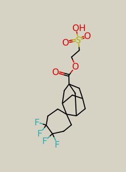 O=C(OCCS(=O)(=O)O)C12CC3CC(C1)C1(CCC(F)(F)C(F)(F)CC1)C(C3)C2